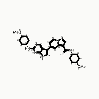 CO[C@H]1CC[C@H](NC(=O)c2cnn3ccc(-c4c[nH]c5nc(N[C@H]6CC[C@@H](OC)CC6)ncc45)cc23)CC1